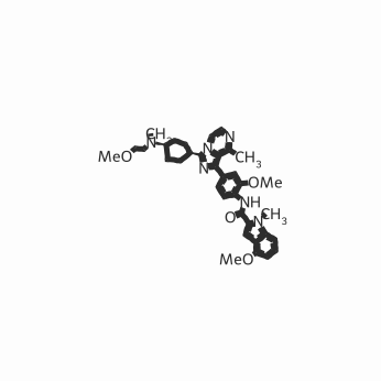 COCCN(C)[C@H]1CC[C@@H](c2nc(-c3ccc(NC(=O)c4cc5c(OC)cccc5n4C)c(OC)c3)c3c(C)nccn32)CC1